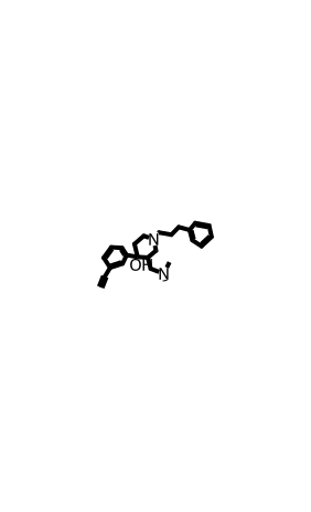 C#Cc1cccc(C2(O)CCN(CCCc3ccccc3)CC2CN(C)C)c1